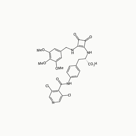 COc1cc(CNc2c(N[C@@H](Cc3ccc(NC(=O)c4c(Cl)cncc4Cl)cc3)C(=O)O)c(=O)c2=O)cc(OC)c1OC